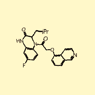 CC(C)CC1C(=O)Nc2cc(F)ccc2N1C(=O)COc1cccc2cnccc12